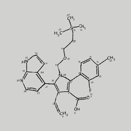 C=Cc1c(C(=O)O)c(-c2ccc(C)cc2F)n(COCC[Si](C)(C)C)c1-c1ccnc2[nH]ccc12